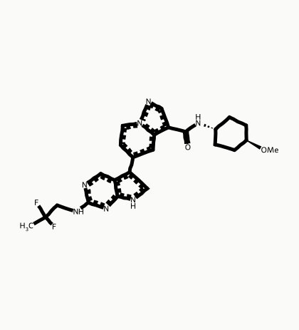 CO[C@H]1CC[C@H](NC(=O)c2cnn3ccc(-c4c[nH]c5nc(NCC(C)(F)F)ncc45)cc23)CC1